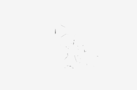 O=C(O)c1cccc(CN2C(=O)C3(CC34CCOCC4)c3ccccc32)c1